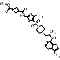 Cc1nc(NC(=O)C2CN(C(=O)OC(C)(C)C)C2)sc1S(=O)(=O)N1CCN(C[C@H](C)Nc2ncnc3c(C)csc23)CC1